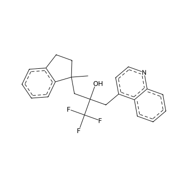 CC1(CC(O)(Cc2ccnc3ccccc23)C(F)(F)F)CCc2ccccc21